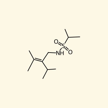 CC(C)=C(CNS(=O)(=O)C(C)C)C(C)C